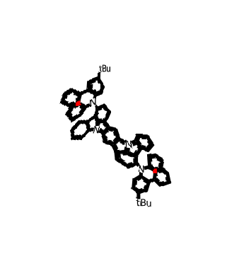 CC(C)(C)c1ccc(N(c2ccccc2)c2ccc3c4cc5c(cc4n4c3c2C2C=CC=CC24)c2ccc(N(c3ccccc3)c3ccc(C(C)(C)C)cc3-c3ccccc3)c3c4ccccc4n5c23)c(-c2ccccc2)c1